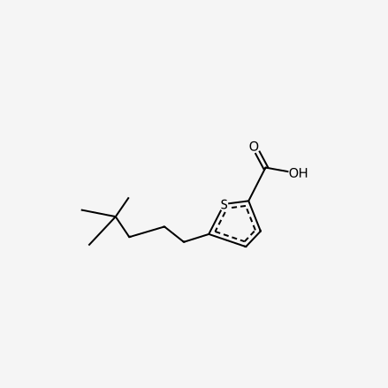 CC(C)(C)CCCc1ccc(C(=O)O)s1